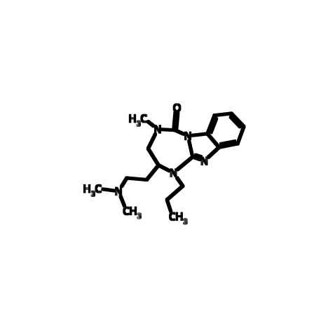 CCCN1c2nc3ccccc3n2C(=O)N(C)CC1CCN(C)C